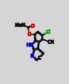 CNC(=O)Oc1cc(Cl)c(C#N)c2c1[nH]c1ncccc12